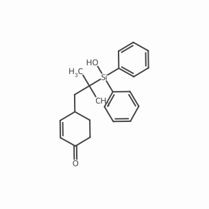 CC(C)(CC1C=CC(=O)CC1)[Si](O)(c1ccccc1)c1ccccc1